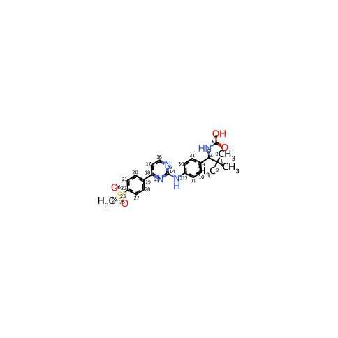 CC(C)(C)C(NC(=O)O)c1ccc(Nc2nccc(-c3ccc(S(C)(=O)=O)cc3)n2)cc1